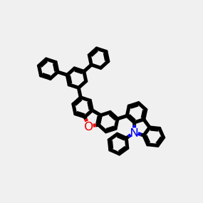 C1=CCC(C2=CC(c3ccccc3)=CC(c3ccc4oc5ccc(-c6cccc7c8ccccc8n(-c8ccccc8)c67)cc5c4c3)C2)C=C1